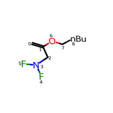 C=C(CN(F)F)OCCCCC